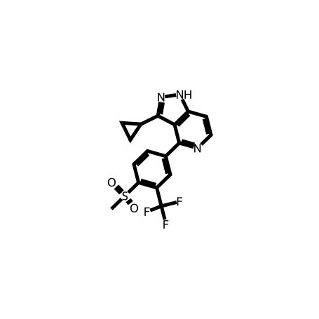 CS(=O)(=O)c1ccc(-c2nccc3[nH]nc(C4CC4)c23)cc1C(F)(F)F